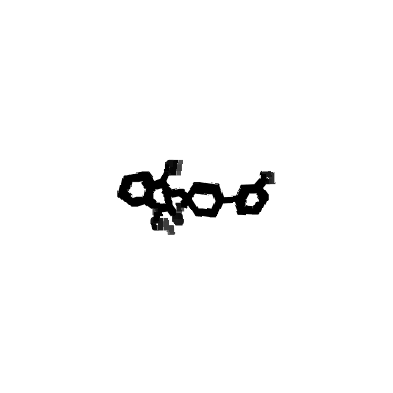 Cn1c(=O)c(CC2(F)C=CC(c3cccc(Cl)c3)C=C2)c(O)c2ccccc21